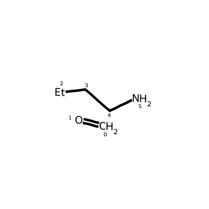 C=O.CCCCN